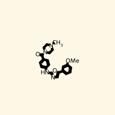 COc1cccc(-c2cnc(Nc3ccc(C(=O)N4CCN(C)CC4)cc3)o2)c1